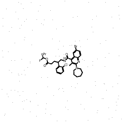 CCCC(F)OC(=O)CCC(CNC(=O)c1c(C)c(N2CCCCCC2)nc2ccc(Br)cc12)c1ccccc1Cl